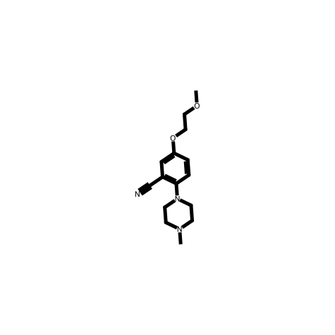 COCCOc1ccc(N2CCN(C)CC2)c(C#N)c1